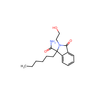 CCCCCCC1(C(N)=O)c2ccccc2C(=O)N1CCO